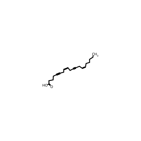 CCCCC/C=C\CC#CC/C=C\CC#CCCCC(=O)O